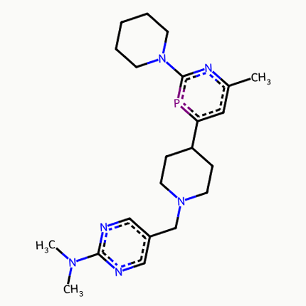 Cc1cc(C2CCN(Cc3cnc(N(C)C)nc3)CC2)pc(N2CCCCC2)n1